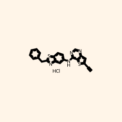 C#Cc1cc2ncnc(Nc3ccc4sc(Cc5ccccc5)nc4c3)c2s1.Cl